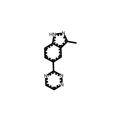 Cc1n[nH]c2ccc(-c3nccnn3)cc12